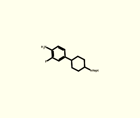 CCCCCCCC1CCC(c2ccc(N)c(F)c2)CC1